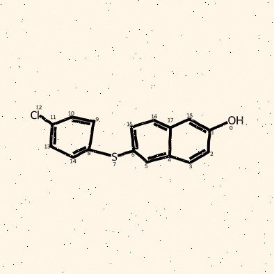 Oc1ccc2cc(Sc3ccc(Cl)cc3)ccc2c1